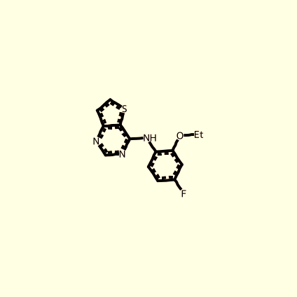 CCOc1cc(F)ccc1Nc1ncnc2ccsc12